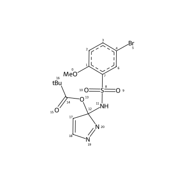 COc1ccc(Br)cc1S(=O)(=O)NC1(OC(=O)C(C)(C)C)C=CN=N1